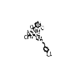 O=C(Nc1cnc(Cl)nc1N1CCN(CC=Cc2ccc(Cl)cc2)CC1)c1ccnc(Cl)c1